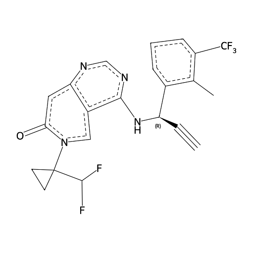 C#C[C@@H](Nc1ncnc2cc(=O)n(C3(C(F)F)CC3)cc12)c1cccc(C(F)(F)F)c1C